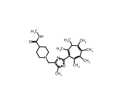 CNC(=O)C1CCN(Cc2nc(C3=C(C)C(C)C(C)=C(C)C(C)=C3C)oc2C)CC1